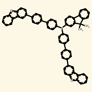 CC1(C)c2ccccc2-c2ccc(N(c3ccc(-c4ccc(-c5ccc6oc7ccccc7c6c5)cc4)cc3)c3ccc(-c4ccc(-c5ccc6oc7ccccc7c6c5)cc4)cc3)cc21